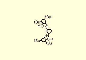 CC(C)(C)c1cc(C=Nc2cccc(N=Cc3cc(C(C)(C)C)cc(C(C)(C)C)c3O)n2)c(O)c(C(C)(C)C)c1